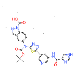 CC(C)(C)OC(=O)N(c1ccc2c(cnn2C(=O)O)c1)c1nnc(-c2cncc(NC(=O)c3c[nH]cn3)c2)s1